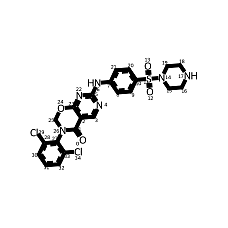 O=C1c2cnc(Nc3ccc(S(=O)(=O)N4CCNCC4)cc3)nc2OCN1c1c(Cl)cccc1Cl